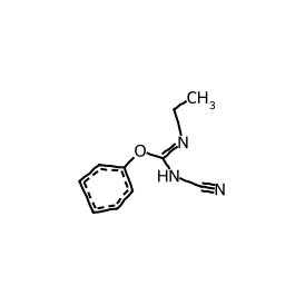 CC/N=C(/NC#N)Oc1ccccc1